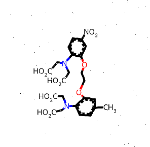 Cc1ccc(N(CC(=O)O)CC(=O)O)c(OCCOc2cc([N+](=O)[O-])ccc2N(CC(=O)O)CC(=O)O)c1